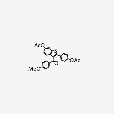 COc1ccc(C(=O)c2c(-c3ccc(OC(C)=O)cc3)sc3cc(OC(C)=O)ccc23)cc1